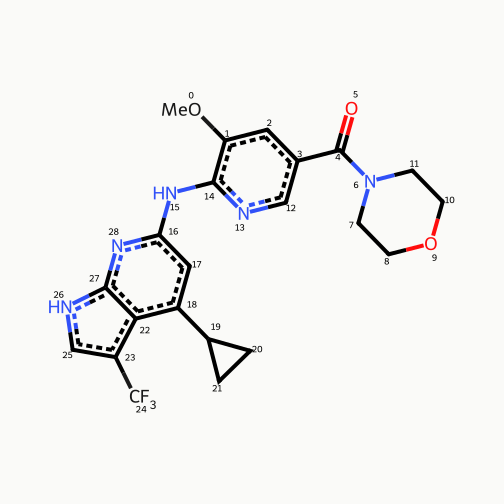 COc1cc(C(=O)N2CCOCC2)cnc1Nc1cc(C2CC2)c2c(C(F)(F)F)c[nH]c2n1